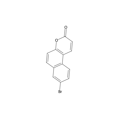 O=c1ccc2c(ccc3cc(Br)ccc32)o1